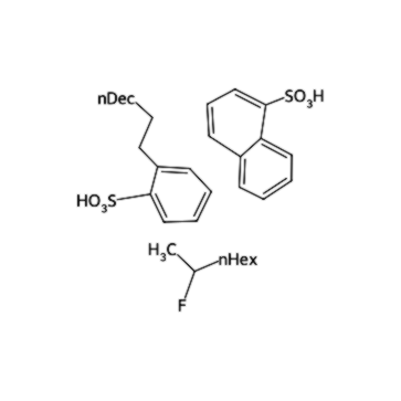 CCCCCCC(C)F.CCCCCCCCCCCCc1ccccc1S(=O)(=O)O.O=S(=O)(O)c1cccc2ccccc12